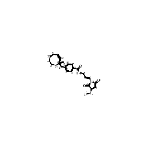 CCSC1CC(=O)N(CCCNC(=O)c2ccc(CC3(C)C#CCCCCC3)cc2)C1=O